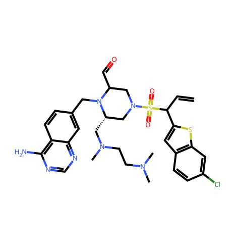 C=CC(c1cc2ccc(Cl)cc2s1)S(=O)(=O)N1CC(C=O)N(Cc2ccc3c(N)ncnc3c2)[C@@H](CN(C)CCN(C)C)C1